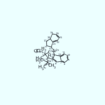 CC(C)(C)P(C1=Cc2ccccc2[CH]1[Zr+2][CH]1CCC2CC=CC=C21)C(C)(C)C.[Cl-].[Cl-]